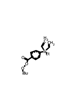 C=C[Si](C=C)(CC)c1ccc(C(=O)OO[C](C)CC)cc1